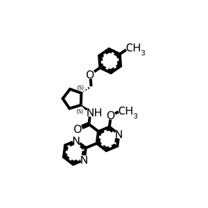 COc1nccc(-c2ncccn2)c1C(=O)N[C@H]1CCC[C@@H]1COc1ccc(C)cc1